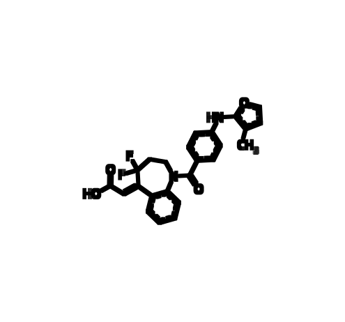 Cc1ccoc1Nc1ccc(C(=O)N2CCC(F)(F)C(=CC(=O)O)c3ccccc32)cc1